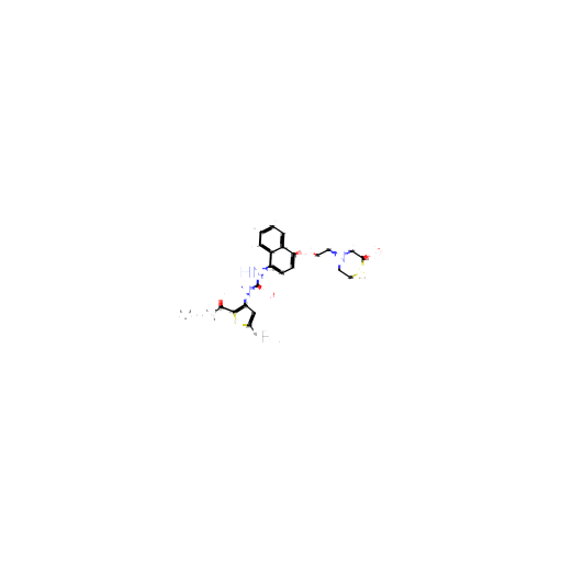 CNC(=O)c1sc(C(C)(C)C)cc1NC(=O)Nc1ccc(OCCN2CCSC(=O)C2)c2ccccc12